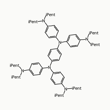 CCCC(C)N(c1ccc(N(c2ccc(N(c3ccc(N(C(C)CCC)C(C)CCC)cc3)c3ccc(N(C(C)CCC)C(C)CCC)cc3)cc2)c2ccc(N(C(C)CCC)C(C)CCC)cc2)cc1)C(C)CCC